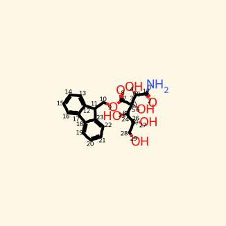 NC(=O)[C@H](O)[C@](O)(C(=O)OCC1c2ccccc2-c2ccccc21)[C@H](O)[C@H](O)CO